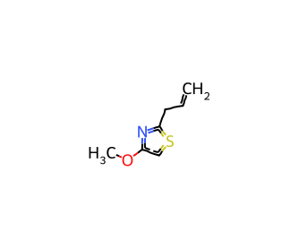 C=CCc1nc(OC)cs1